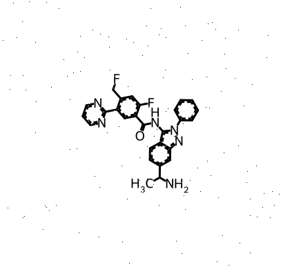 CC(N)c1ccc2c(NC(=O)c3cc(-c4ncccn4)c(CF)cc3F)n(-c3ccccc3)nc2c1